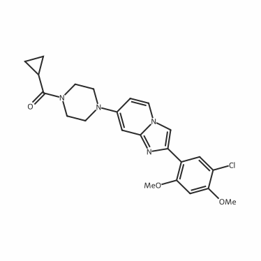 COc1cc(OC)c(-c2cn3ccc(N4CCN(C(=O)C5CC5)CC4)cc3n2)cc1Cl